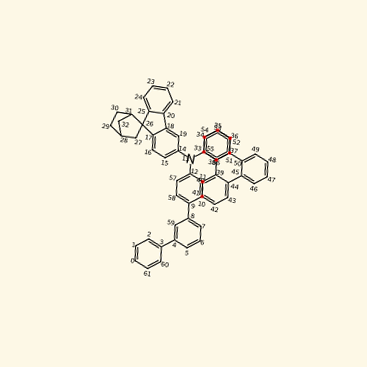 c1ccc(-c2cccc(-c3ccc(N(c4ccc5c(c4)-c4ccccc4C54CC5CCC4C5)c4ccccc4-c4ccccc4-c4ccccc4-c4ccccc4)cc3)c2)cc1